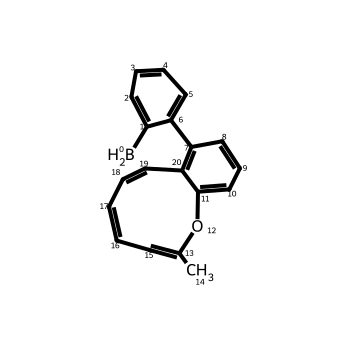 Bc1ccccc1-c1cccc2oc(C)cccccc12